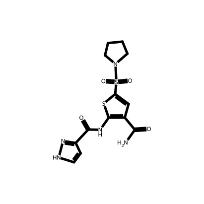 NC(=O)c1cc(S(=O)(=O)N2CCCC2)sc1NC(=O)c1cc[nH]n1